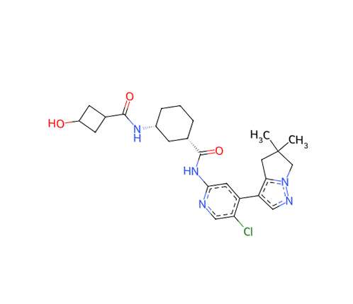 CC1(C)Cc2c(-c3cc(NC(=O)[C@H]4CCC[C@@H](NC(=O)C5CC(O)C5)C4)ncc3Cl)cnn2C1